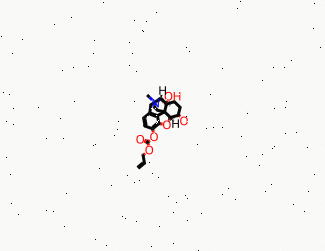 C=CCOC(=O)Oc1ccc2c3c1O[C@H]1C(=O)CC[C@@]4(O)[C@@H](C2)N(C)CCC314